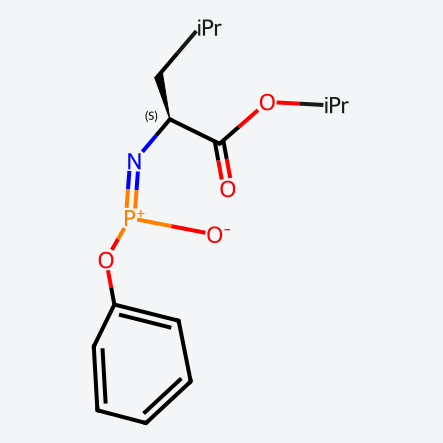 CC(C)C[C@H](N=[P+]([O-])Oc1ccccc1)C(=O)OC(C)C